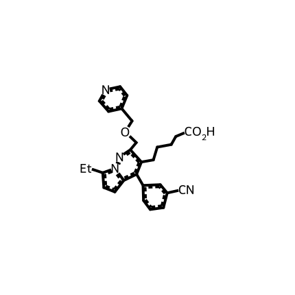 CCc1ccc2c(-c3cccc(C#N)c3)c(CCCCC(=O)O)c(COCc3ccncc3)nn12